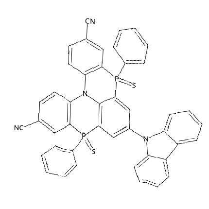 N#Cc1ccc2c(c1)P(=S)(c1ccccc1)c1cc(-n3c4ccccc4c4ccccc43)cc3c1N2c1ccc(C#N)cc1P3(=S)c1ccccc1